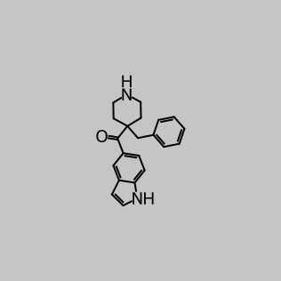 O=C(c1ccc2[nH]ccc2c1)C1(Cc2ccccc2)CCNCC1